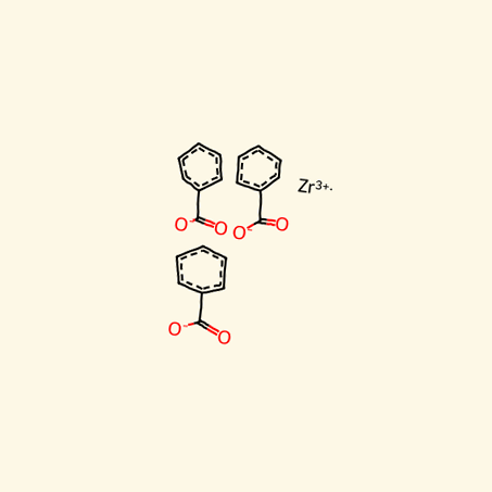 O=C([O-])c1ccccc1.O=C([O-])c1ccccc1.O=C([O-])c1ccccc1.[Zr+3]